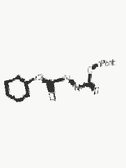 CCCCCOC(=O)N=NC(=O)OC1CCCCC1